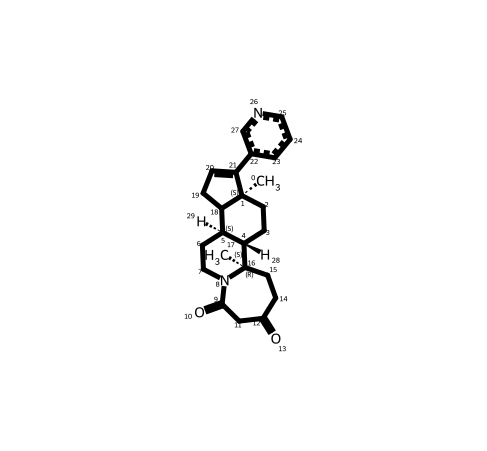 C[C@]12CC[C@H]3[C@@H](CCN4C(=O)CC(=O)CC[C@]34C)C1CC=C2c1cccnc1